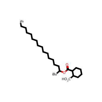 CCC(C)C(CCCCCCCCCCCCCCC(C)C)OC(=O)C1CCCCC1C(=O)O